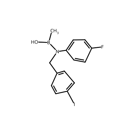 CB(O)N(Cc1ccc(I)cc1)c1ccc(F)cc1